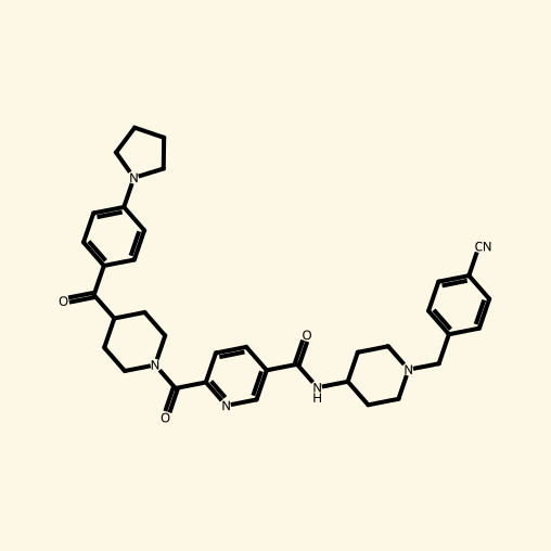 N#Cc1ccc(CN2CCC(NC(=O)c3ccc(C(=O)N4CCC(C(=O)c5ccc(N6CCCC6)cc5)CC4)nc3)CC2)cc1